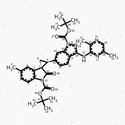 Cc1ccc2c(c1)[C@]1(C[C@H]1c1ccc3c(Nc4nc(C)cnc4C)nn(C(=O)OC(C)(C)C)c3c1)C(=O)N2C(=O)OC(C)(C)C